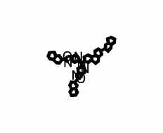 c1ccc2cc(-c3ccc4c(ccc5cc(N(c6cc7nc(-c8ccc9ccccc9c8)oc7cn6)c6cc7nc(-c8ccc9ccccc9c8)oc7cn6)ccc54)c3)ccc2c1